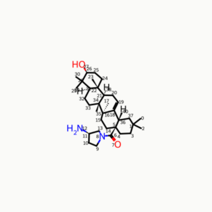 CC1(C)CC[C@]2(C(=O)N3CC[C@@H](N)C3)CC[C@]3(C)C(=CC[C@@H]4[C@@]5(C)CC[C@H](O)C(C)(C)[C@@H]5CC[C@]43C)[C@@H]2C1